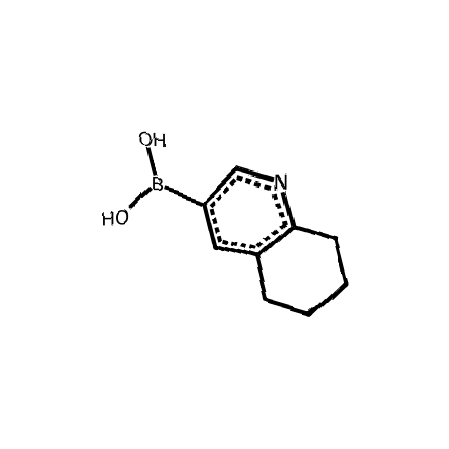 OB(O)c1cnc2c(c1)CCCC2